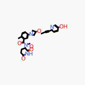 Cc1ccc(N2CC(OCC#Cc3ccc(O)cn3)C2)cc1C(=O)N(C=O)C1CCC(=O)NC1=O